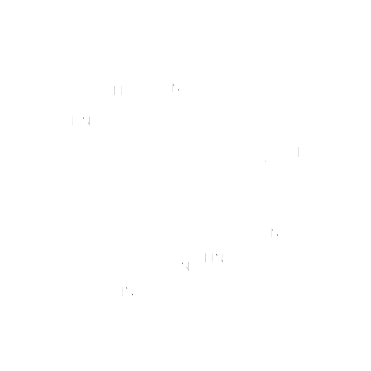 CNc1ccc(C2=NCCN2)cc1.CNc1ccc(C2=NCCN2)cc1.Cl.Cl